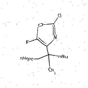 CCCCCCCC(C)(CCCC)c1nc(Cl)oc1F